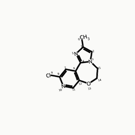 Cc1cn2c(n1)-c1cc(Cl)ncc1OCC2